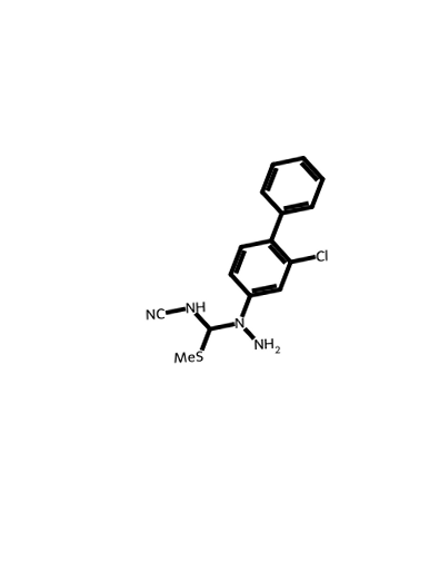 CSC(NC#N)N(N)c1ccc(-c2ccccc2)c(Cl)c1